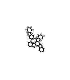 c1ccc2c(c1)oc1c2c2sc3ccccc3c2c2c1c1ccccc1n2-c1ccc2sc3ccccc3c2c1